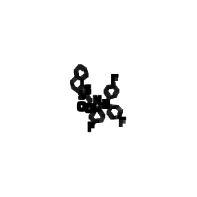 O=C(O)C(N=C(B(c1ccc(F)cc1)c1ccc(F)cc1)c1ccc(F)cc1)=C1SC2=C(S1)c1ccccc1CC2